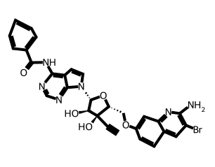 C#C[C@@]1(O)[C@@H](COc2ccc3cc(Br)c(N)nc3c2)O[C@@H](n2ccc3c(NC(=O)c4ccccc4)ncnc32)[C@@H]1O